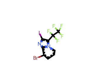 FC(F)(F)C(F)(F)c1c(I)nc2c(Br)cccn12